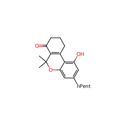 CCCCCc1cc(O)c2c(c1)OC(C)(C)C1=C2CCCC1=O